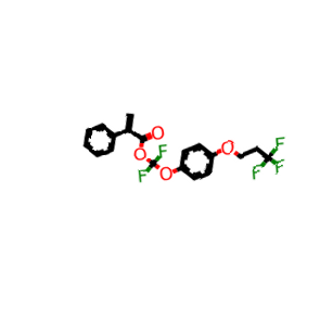 C=C(C(=O)OC(F)(F)Oc1ccc(OCCC(F)(F)F)cc1)c1ccccc1